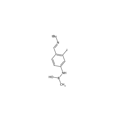 CB(O)Nc1ccc(/C=N/C(C)(C)C)c(I)c1